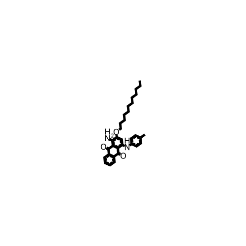 CCCCCCCCCCCCOc1cc(Nc2ccc(C)cc2)c2c(c1N)C(=O)c1ccccc1C2=O